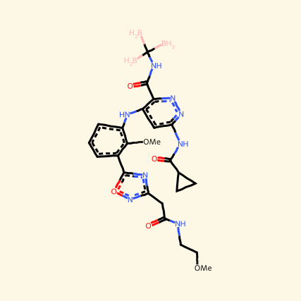 BC(B)(B)NC(=O)c1nnc(NC(=O)C2CC2)cc1Nc1cccc(-c2nc(CC(=O)NCCOC)no2)c1OC